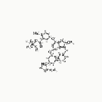 Cc1nc2c(Oc3ccc(C#N)c(C(=O)OC(C)(C)C)c3)nc(Oc3cccc(C4=NCCN4C)c3)nc2n1Cc1ccccc1